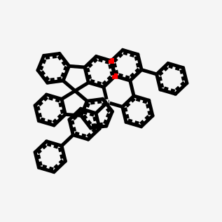 c1ccc(-c2ccc(N(c3ccccc3-c3ccccc3-c3ccccc3)c3cccc4c3C3(c5ccccc5-c5ccccc53)c3ccccc3-4)cc2)cc1